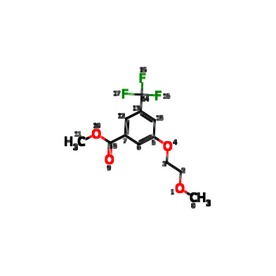 COCCOc1cc(C(=O)OC)cc(C(F)(F)F)c1